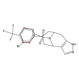 O=S(=O)(c1ccc(C(F)(F)F)cc1)N1C2Cc3[nH]ncc3C1CC(c1cccc(Br)c1)C2